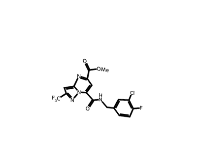 COC(=O)c1cc(C(=O)NCc2ccc(F)c(Cl)c2)n2nc(C(F)(F)F)cc2n1